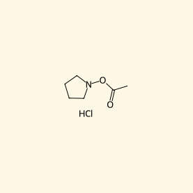 CC(=O)ON1CCCC1.Cl